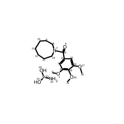 COc1cc(C(=O)N2CCCCCCC2)cc(OC)c1OC.NP(O)O